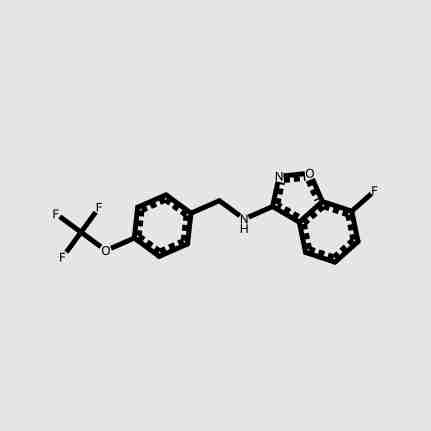 Fc1cccc2c(NCc3ccc(OC(F)(F)F)cc3)noc12